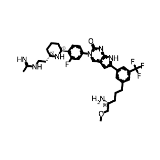 COC[C@H](N)CCCc1cc(-c2cc3cn(-c4ccc([C@@H]5CCC[C@@H](CCNC(C)=N)N5)c(F)c4)c(=O)nc3[nH]2)cc(C(F)(F)F)c1